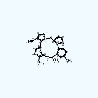 Cc1ccc2c(c1)[C@@H](C)Oc1cc(cnc1N)-c1c(C#N)cnn1Cc1ccnn1-2